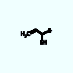 C=CC([S])S